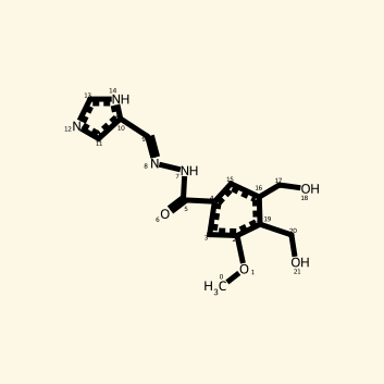 COc1cc(C(=O)N/N=C/c2cnc[nH]2)cc(CO)c1CO